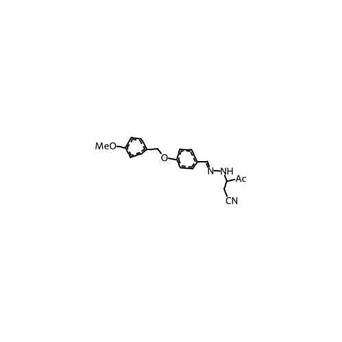 COc1ccc(COc2ccc(C=NNC(CC#N)C(C)=O)cc2)cc1